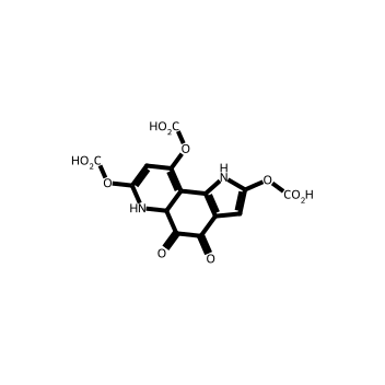 O=C(O)OC1=CC(OC(=O)O)=C2c3[nH]c(OC(=O)O)cc3C(=O)C(=O)C2N1